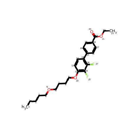 CCCCCOCCCCOc1ccc(-c2ccc(C(=O)OCC)cc2)c(F)c1F